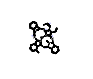 C=Cc1c(/C=C\C)/c2n3/c1=N\C1=[N+](C)C(=N\c4c5c(C)cccc5c(n4N3)/N=C3N=C(/N=2)c2ccccc2\3)/c2ccccc21